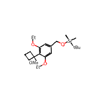 CCOc1cc(CO[Si](C)(C)C(C)(C)C)cc(OCC)c1C1(OC)CCC1